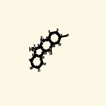 Cc1ccc2nc3[nH]c4ccccc4c3nc2c1